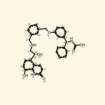 O=C(O)N[C@@H](c1ccccc1)c1cccc(OCc2cccc(CNC[C@H](O)c3ccc(O)c4[nH]c(=O)ccc34)c2)c1